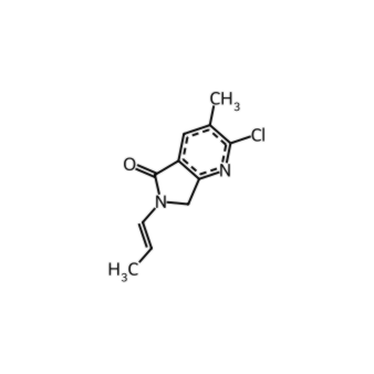 CC=CN1Cc2nc(Cl)c(C)cc2C1=O